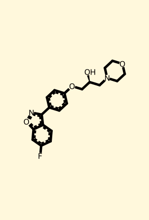 O[C@H](COc1ccc(-c2noc3cc(F)ccc23)cc1)CN1CCOCC1